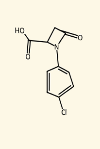 O=C(O)C1CC(=O)N1c1ccc(Cl)cc1